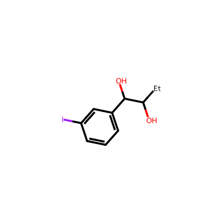 CCC(O)C(O)c1cccc(I)c1